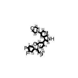 CN(C)/C=C(/c1ccc(F)c(F)c1)n1ccc(-c2c[nH]c3ncc(N4CCOCC4)cc23)cc1=O